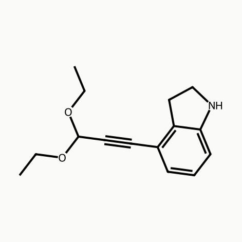 CCOC(C#Cc1cccc2c1CCN2)OCC